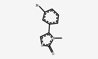 Cn1c(-c2cccc(Br)c2)csc1=O